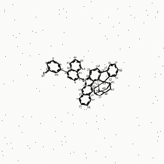 Fc1cccc(-c2ccc(-n3c4cc5ccccc5cc4c4c5c(ccc43)-c3ccccc3C53C4CC5CC(C4)CC3C5)c3ccccc23)c1